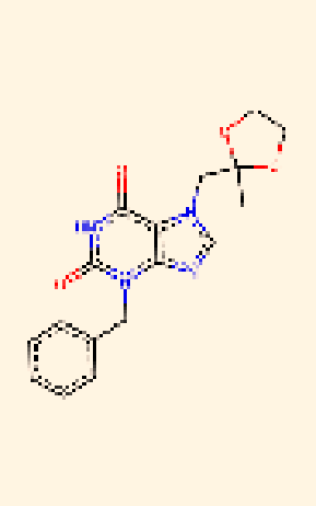 CC1(Cn2cnc3c2c(=O)[nH]c(=O)n3Cc2ccccc2)OCCO1